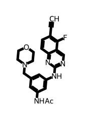 C#Cc1ccc2nc(Nc3cc(CN4CCOCC4)cc(NC(C)=O)c3)ncc2c1F